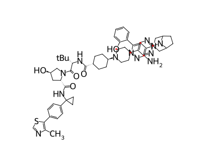 Cc1ncsc1-c1ccc(C2(NC(=O)[C@@H]3C[C@@H](O)CN3C(=O)[C@@H](NC(=O)[C@H]3CC[C@H](N4CCC(c5cnc(N6C7CCC6CN(c6cc(-c8ccccc8O)nnc6N)C7)nc5)CC4)CC3)C(C)(C)C)CC2)cc1